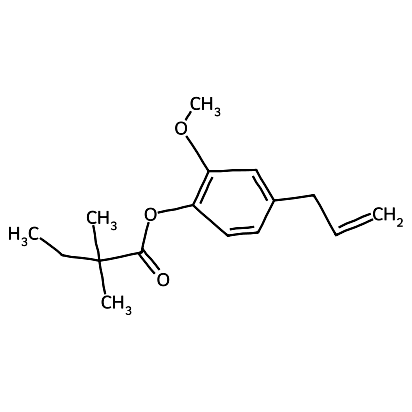 C=CCc1ccc(OC(=O)C(C)(C)CC)c(OC)c1